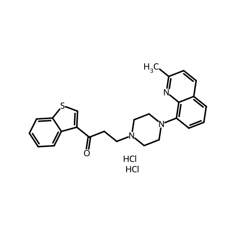 Cc1ccc2cccc(N3CCN(CCC(=O)c4csc5ccccc45)CC3)c2n1.Cl.Cl